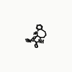 CC(C)(C)OC(=O)NC1CCCc2ccccc2NC1=O